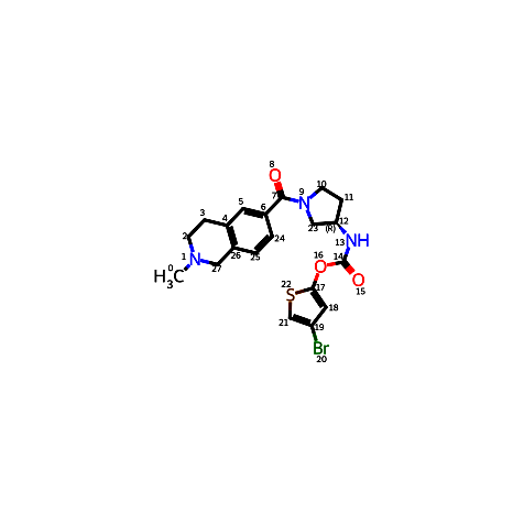 CN1CCc2cc(C(=O)N3CC[C@@H](NC(=O)Oc4cc(Br)cs4)C3)ccc2C1